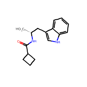 O=C(N[C@@H](Cc1c[nH]c2ccccc12)C(=O)O)C1CCC1